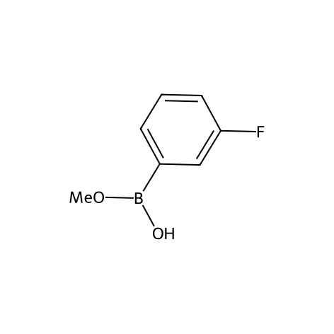 COB(O)c1cccc(F)c1